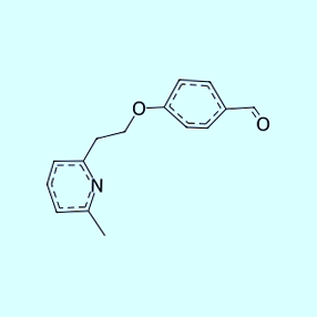 Cc1cccc(CCOc2ccc(C=O)cc2)n1